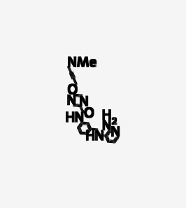 CNCC#CCOc1cnc(C(=O)Nc2cccc(CNc3cccnc3N)c2)cn1